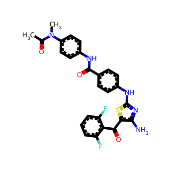 CC(=O)N(C)c1ccc(NC(=O)c2ccc(Nc3nc(N)c(C(=O)c4c(F)cccc4F)s3)cc2)cc1